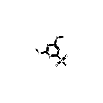 COc1cc(S(C)(=O)=O)nc(OC)n1